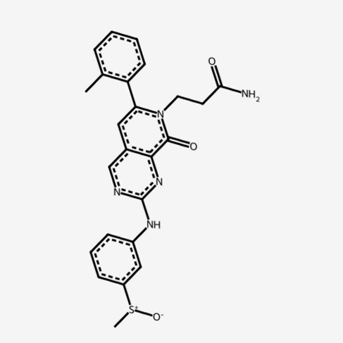 Cc1ccccc1-c1cc2cnc(Nc3cccc([S+](C)[O-])c3)nc2c(=O)n1CCC(N)=O